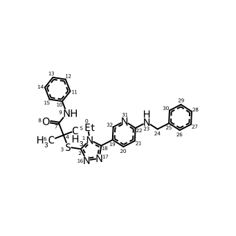 CCn1c(SC(C)(C)C(=O)Nc2ccccc2)nnc1-c1ccc(NCc2ccccc2)nc1